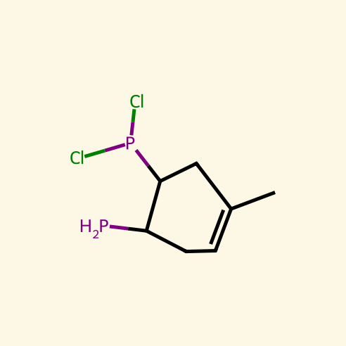 CC1=CCC(P)C(P(Cl)Cl)C1